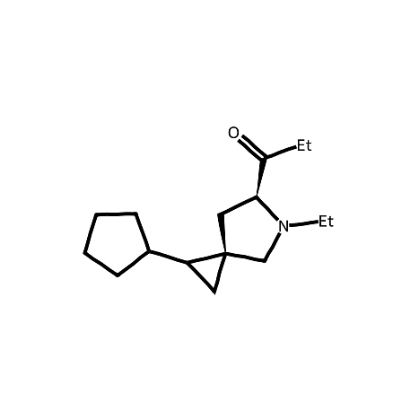 CCC(=O)[C@@H]1C[C@]2(CC2C2CCCC2)CN1CC